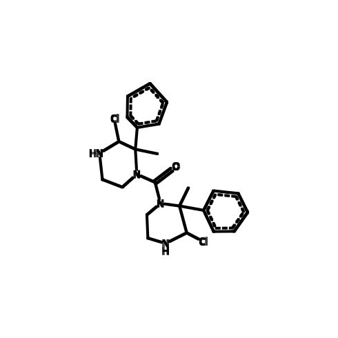 CC1(c2ccccc2)C(Cl)NCCN1C(=O)N1CCNC(Cl)C1(C)c1ccccc1